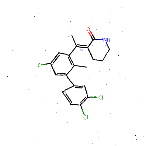 C/C(=C1/CCCNC1=O)c1cc(Cl)cc(-c2ccc(Cl)c(Cl)c2)c1C